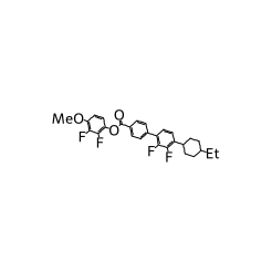 CCC1CCC(c2ccc(-c3ccc(C(=O)Oc4ccc(OC)c(F)c4F)cc3)c(F)c2F)CC1